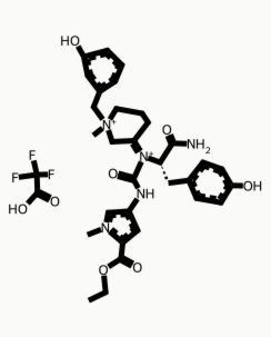 CCOC(=O)c1cc(NC(=O)/[N+](=C2/CCC[N+](C)(Cc3cccc(O)c3)C2)[C@@H](Cc2ccc(O)cc2)C(N)=O)cn1C.O=C(O)C(F)(F)F